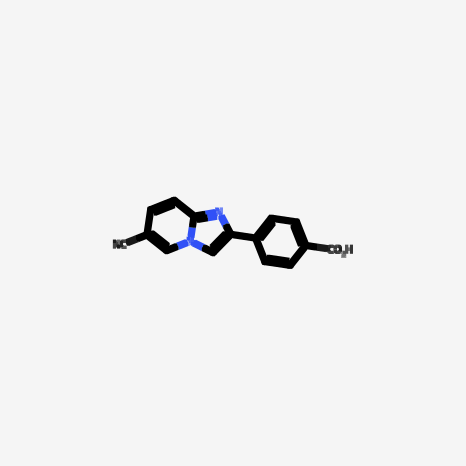 N#Cc1ccc2nc(-c3ccc(C(=O)O)cc3)cn2c1